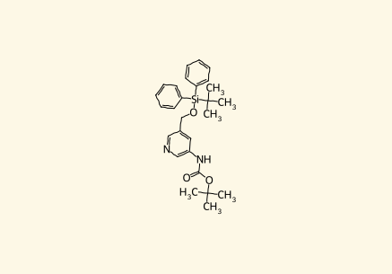 CC(C)(C)OC(=O)Nc1cncc(CO[Si](c2ccccc2)(c2ccccc2)C(C)(C)C)c1